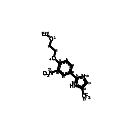 CCOCCOc1ccc(-c2ncc(C(F)(F)F)[nH]2)cc1[N+](=O)[O-]